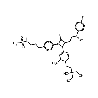 CC1C=C([C@@H]2C(CC[C@H](O)c3ccc(F)cc3)C(=O)N2c2ccc(CCCNS(C)(=O)=O)cc2)C=CC1CCC(O)(CO)CO